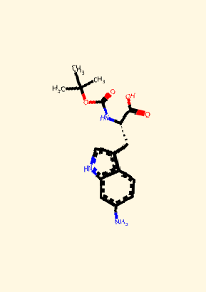 CC(C)(C)OC(=O)N[C@@H](Cc1c[nH]c2cc(N)ccc12)C(=O)O